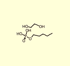 CCCCCOP(=O)(O)O.OCCO